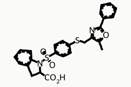 Cc1oc(-c2ccccc2)nc1CSc1ccc(S(=O)(=O)N2c3ccccc3CC2C(=O)O)cc1